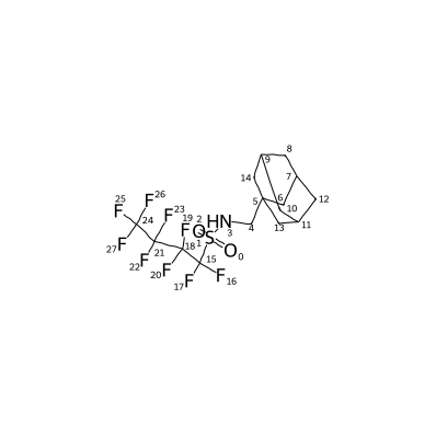 O=S(=O)(NCC12CC3CC(CC(C3)C1)C2)C(F)(F)C(F)(F)C(F)(F)C(F)(F)F